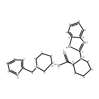 O=C(O[C@H]1CCCN(Cc2ccccn2)C1)[C@@H]1CCCCN1c1nc2ccccc2o1